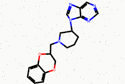 c1ccc2c(c1)OCC(CN1CCCC(n3cnc4cncnc43)C1)O2